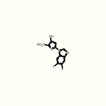 O=C(O)c1sc(-n2cnc3cc(F)c(F)cc32)cc1O